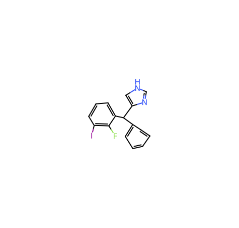 Fc1c(I)cccc1C(c1ccccc1)c1c[nH]cn1